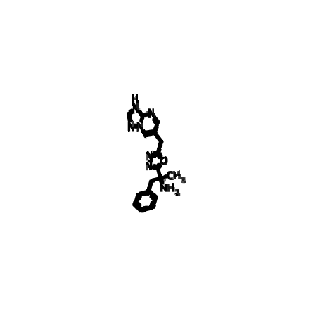 C[C@@](N)(Cc1ccccc1)c1nnc(CC2=CN3N=CNC3N=C2)o1